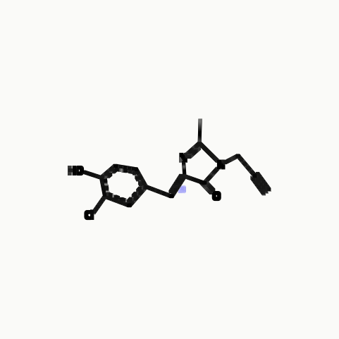 C#CCN1C(=O)/C(=C/c2ccc(O)c(Cl)c2)N=C1C